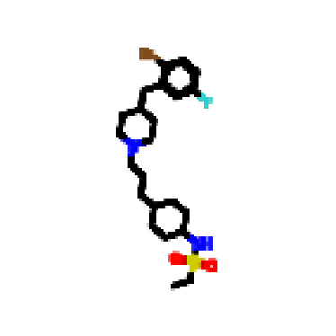 CCS(=O)(=O)NC1CCC(CCCN2CCC(Cc3cc(F)ccc3Br)CC2)CC1